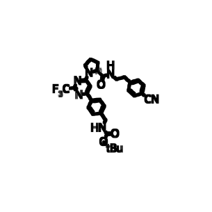 CC(C)(C)OC(=O)NCc1ccc(-c2cc(N3CCC[C@H]3C(=O)NCCc3ccc(C#N)cc3)nc(C(F)(F)F)n2)cc1